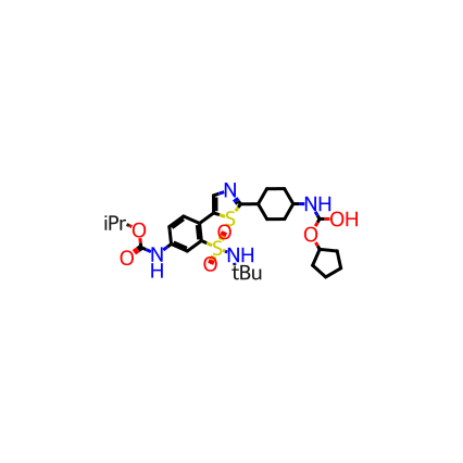 CC(C)OC(=O)Nc1ccc(-c2cnc(C3CCC(NC(O)OC4CCCC4)CC3)s2)c(S(=O)(=O)NC(C)(C)C)c1